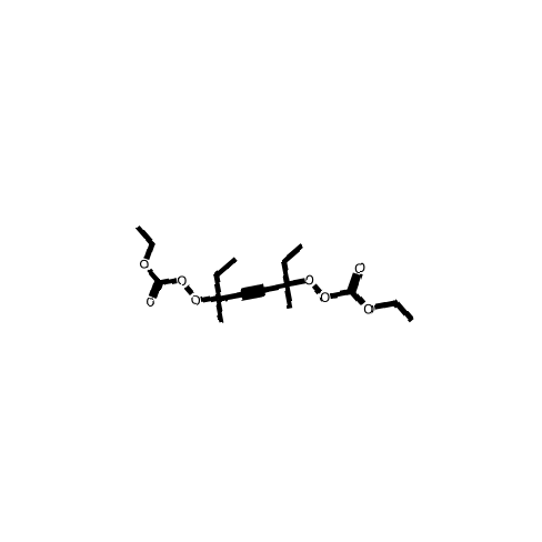 CCOC(=O)OOC(C)(C#CC(C)(CC)OOC(=O)OCC)CC